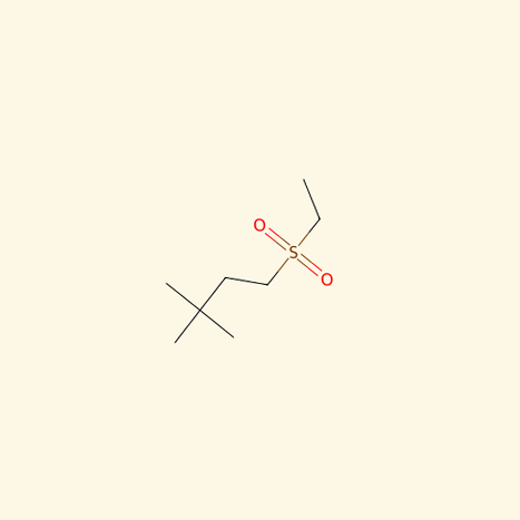 CCS(=O)(=O)CCC(C)(C)C